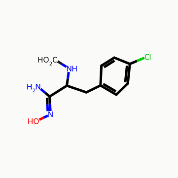 NC(=NO)C(Cc1ccc(Cl)cc1)NC(=O)O